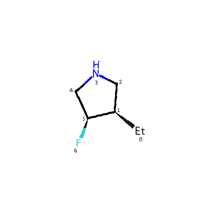 CC[C@@H]1CNC[C@@H]1F